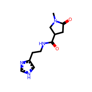 CN1CC(C(=O)NCCc2c[nH]cn2)CC1=O